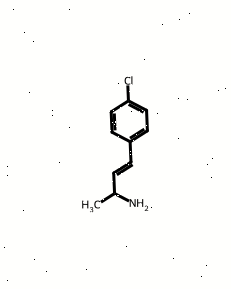 CC(N)/C=C/c1ccc(Cl)cc1